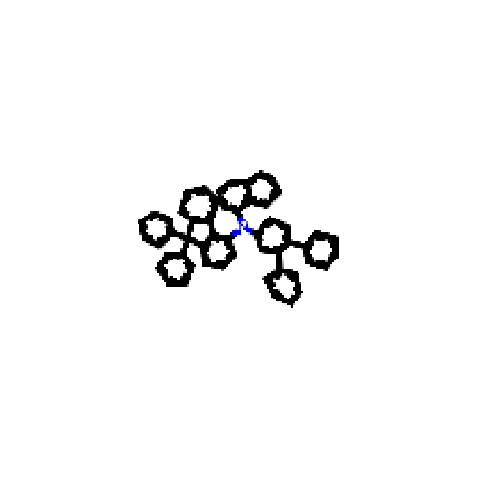 c1ccc(-c2ccc(N(c3cccc4c3-c3ccccc3C4(c3ccccc3)c3ccccc3)c3cccc4ccccc34)cc2-c2ccccc2)cc1